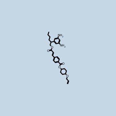 C=CCOC1CCC(OC(=O)c2ccc(/C=C/C(=O)OCC(CCCC)c3cc(N)cc(N)c3)cc2)CC1